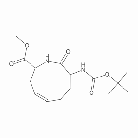 COC(=O)C1C/C=C\CCC(NC(=O)OC(C)(C)C)C(=O)N1